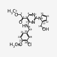 COCC(=O)c1cnc(-n2cccc2CO)nc1NCc1ccc(OC)c(Cl)c1